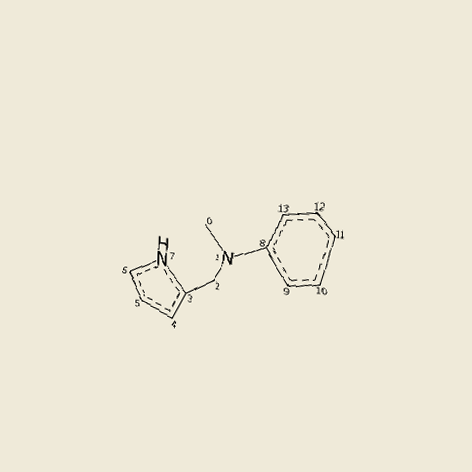 CN(Cc1ccc[nH]1)c1ccccc1